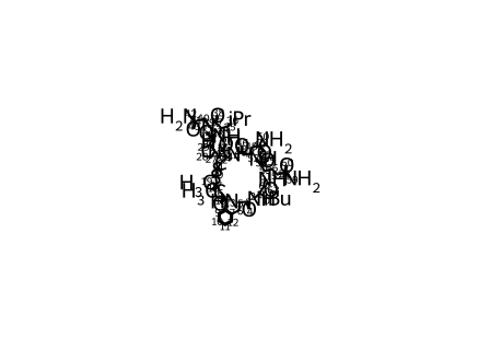 CCC(C)C1NC(=O)C(Cc2ccccc2)NC(=O)CC(C)(C)SSCC(C(=O)N2CCCC2C(=O)NC(CC(C)C)C(=O)NCC(N)=O)NC(=O)C(CC(N)=O)NC(=O)C(CCC(N)=O)NC1=O